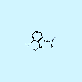 Nc1ccccc1N.O=[N+]([O-])[O-].[Ag+]